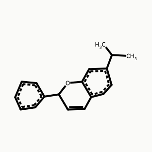 CC(C)c1ccc2c(c1)OC(c1ccccc1)C=C2